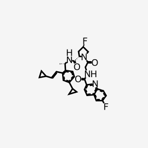 C[C@H](NC(=O)[C@@H]1C[C@@H](F)CN1C(=O)CNC(=O)c1ccc2cc(F)ccc2n1)c1ccc(C2CC2)cc1/C=C/C1CC1